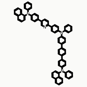 c1ccc(N(c2ccc(-c3ccc(-c4ccc(N(c5ccccc5)c5cccc6ccccc56)cc4)cc3)cc2)c2ccc(-c3ccc(-c4ccc(N(c5ccccc5)c5cccc6ccccc56)cc4)cn3)cc2)cc1